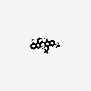 Cc1c2c(c(CC(C)(C)C)c3cc([Si](C)(C)C)ccc13)Oc1cc3cccc(F)c3c3cc[n+](C)c-2c13